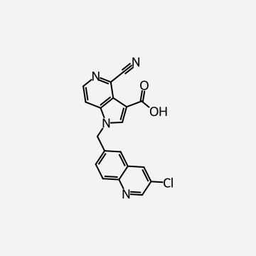 N#Cc1nccc2c1c(C(=O)O)cn2Cc1ccc2ncc(Cl)cc2c1